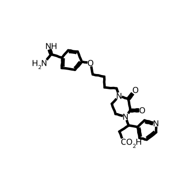 N=C(N)c1ccc(OCCCCN2CCN(C(CC(=O)O)c3cccnc3)C(=O)C2=O)cc1